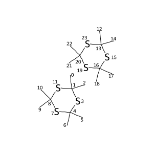 CC1(C)SC(C)(C)SC(C)(C)S1.CC1(C)SC(C)(C)SC(C)(C)S1